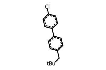 CC(C)(C)Cc1ccc(-c2ccc(Cl)cc2)cc1